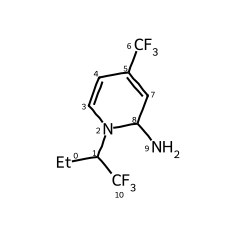 CCC(N1C=CC(C(F)(F)F)=CC1N)C(F)(F)F